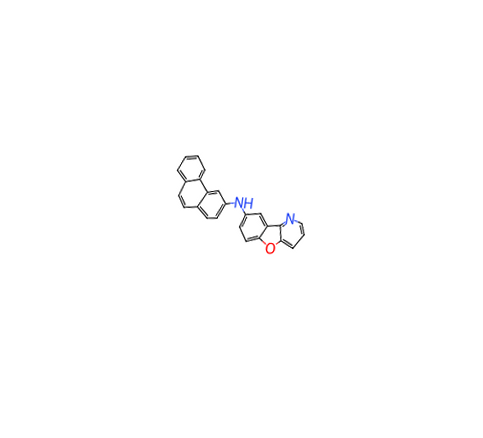 c1ccc2c(c1)ccc1ccc(Nc3ccc4oc5cccnc5c4c3)cc12